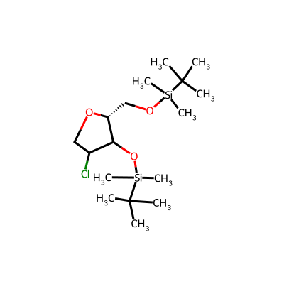 CC(C)(C)[Si](C)(C)OC[C@H]1OCC(Cl)C1O[Si](C)(C)C(C)(C)C